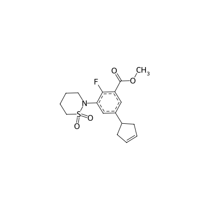 COC(=O)c1cc(C2CC=CC2)cc(N2CCCCS2(=O)=O)c1F